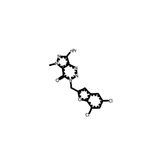 CCCc1nn(C)c2c(=O)n(Cc3cc4cc(Cl)cc(Cl)c4o3)nnc12